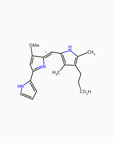 COC1=CC(c2ccc[nH]2)=N/C1=C\c1[nH]c(C)c(CCC(=O)O)c1C